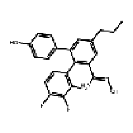 CCCc1cc(C(N)=NO)c(-c2ccc(F)c(F)c2C)c(-c2ccc(O)cc2)c1